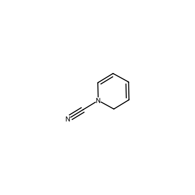 N#CN1C=CC=CC1